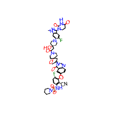 Cn1nc(N2CCC(=O)NC2=O)c2cc(F)c(N3CCC(O)(CC(=O)N4CCC5(CC4)C[C@@H](n4cnc6ccc(Oc7c(F)ccc(NS(=O)(=O)N8CCCCC8)c7C#N)cc6c4=O)CO5)CC3)cc21